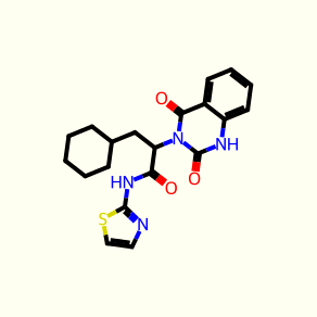 O=C(Nc1nccs1)C(CC1CCCCC1)n1c(=O)[nH]c2ccccc2c1=O